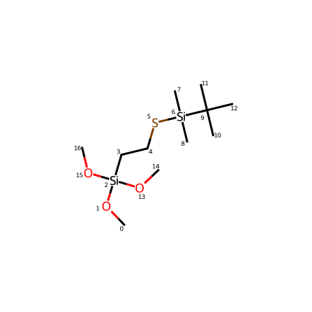 CO[Si](CCS[Si](C)(C)C(C)(C)C)(OC)OC